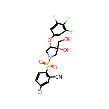 N#Cc1cc(Cl)ccc1S(=O)(=O)N1C[C@H](Oc2cc(F)c(F)c(F)c2)[C@](O)(CO)C1